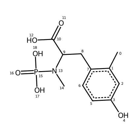 Cc1cc(O)ccc1CC(C(=O)O)N(C)P(=O)(O)O